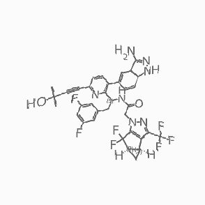 CC(C)(O)C#Cc1ccc(C2=CC3C(N)=NNC3C=C2)c([C@H](Cc2cc(F)cc(F)c2)NC(=O)Cn2nc(C(F)(F)F)c3c2C(F)(F)[C@@H]2C[C@H]32)n1